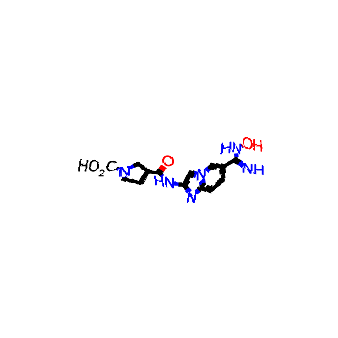 N=C(NO)c1ccc2nc(NC(=O)C3CCN(C(=O)O)C3)cn2c1